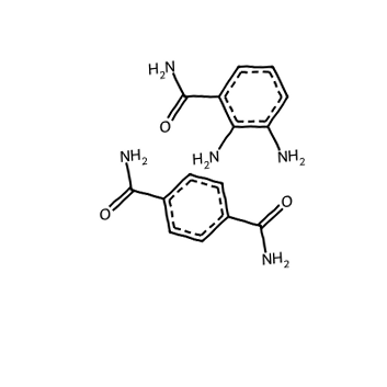 NC(=O)c1ccc(C(N)=O)cc1.NC(=O)c1cccc(N)c1N